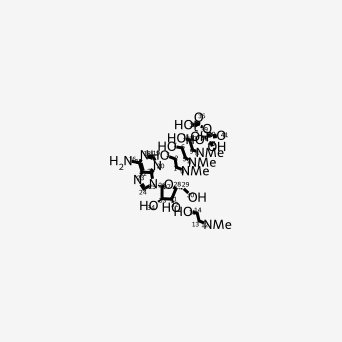 CNCCO.CNCCO.CNCCO.CNCCO.Nc1ncnc2c1ncn2[C@@H]1O[C@H](CO)[C@@H](O)[C@H]1O.O=P(O)(O)OP(=O)(O)O